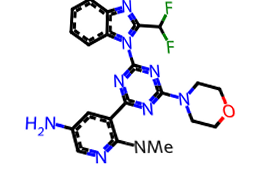 CNc1ncc(N)cc1-c1nc(N2CCOCC2)nc(-n2c(C(F)F)nc3ccccc32)n1